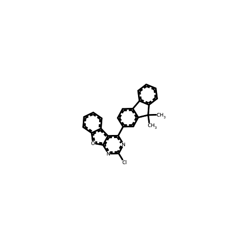 CC1(C)c2ccccc2-c2ccc(-c3nc(Cl)nc4oc5ccccc5c34)cc21